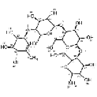 CC1=C[C@H](N[C@@H]2C(C)O[C@H](O[C@@H]3C(CO)O[C@H](O[C@@H]4C(CO)OC(N)C(O)[C@@H]4O)C(O)[C@@H]3O)C(O)[C@@H]2O)C(O)[C@H](O)[C@H]1O